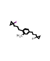 CCC1(CCCc2ccc(CCCC3(I)CC3)c(C)c2)CC1